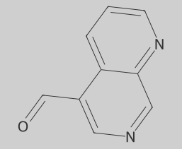 O=Cc1cncc2ncccc12